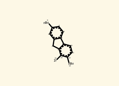 CCCCc1ccc2c(c1)Cc1c-2ccc(CCCC)[c]1[Zr]